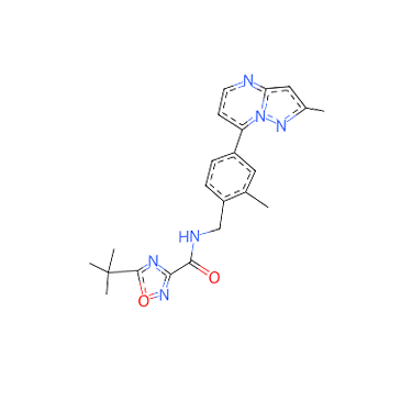 Cc1cc2nccc(-c3ccc(CNC(=O)c4noc(C(C)(C)C)n4)c(C)c3)n2n1